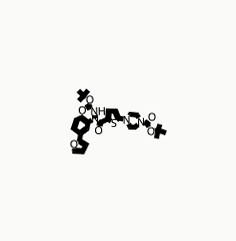 CC(C)(C)OC(=O)NN(C(=O)c1ccc(N2CCN(C(=O)OC(C)(C)C)CC2)s1)c1cccc(-c2ccco2)c1